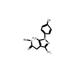 Cc1nn(-c2ccc(C#N)cc2)c(C)c1CC(=O)OC(C)(C)C